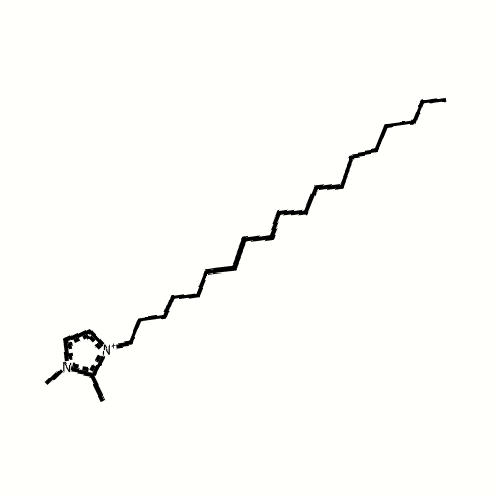 CCCCCCCCCCCCCCCCCCC[n+]1ccn(C)c1C